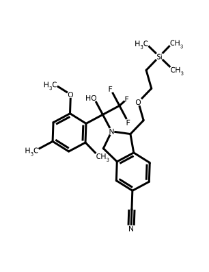 COc1cc(C)cc(C)c1C(O)(N1Cc2cc(C#N)ccc2C1COCC[Si](C)(C)C)C(F)(F)F